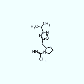 CC(=N)N1CCCC1Cc1nc(C(C)C)no1